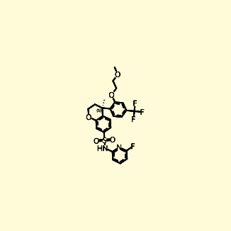 COCCOc1cc(C(F)(F)F)ccc1[C@]1(C)CCOc2cc(S(=O)(=O)Nc3cccc(F)n3)ccc21